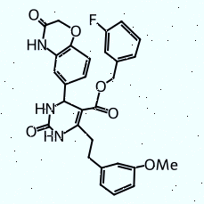 COc1cccc(CCC2=C(C(=O)OCc3cccc(F)c3)C(c3ccc4c(c3)NC(=O)CO4)NC(=O)N2)c1